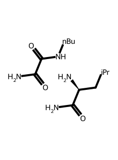 CC(C)C[C@H](N)C(N)=O.CCCCNC(=O)C(N)=O